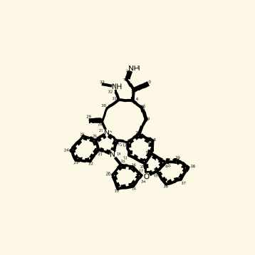 C=C(C=N)C1CCc2cc3c(cc2-c2n(-c4ccccc4)c4ccccc4[n+]2C(=C)CC1NC)oc1ccccc13